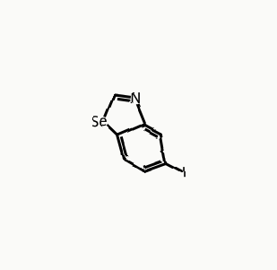 Ic1ccc2[se]cnc2c1